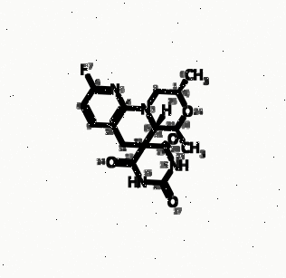 C[C@@H]1CN2c3nc(F)ccc3CC3(C(=O)NC(=O)NC3=O)[C@H]2[C@H](C)O1